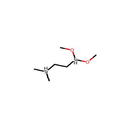 CO[SiH](CC[SiH](C)C)OC